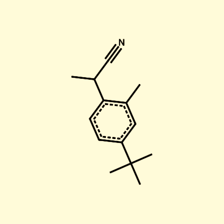 Cc1cc(C(C)(C)C)ccc1C(C)C#N